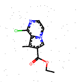 CCOC(=O)c1cn2ccnc(Cl)c2c1C